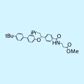 COC(=O)CCNC(=O)c1ccc(C(CC(C)C)Oc2ccc(-c3ccc(C(C)(C)C)cc3)cc2)cc1